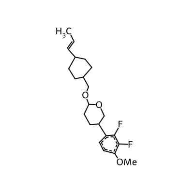 C/C=C/C1CCC(COC2CCC(c3ccc(OC)c(F)c3F)CO2)CC1